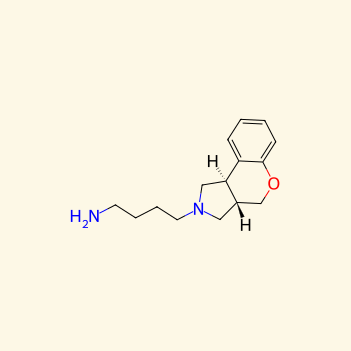 NCCCCN1C[C@H]2COc3ccccc3[C@@H]2C1